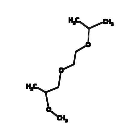 COC(C)COCCOC(C)C